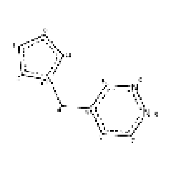 c1ccn(Cc2ccnnc2)c1